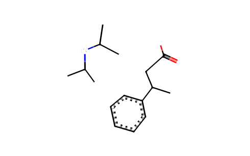 CC(C)NC(C)C.CC(CC(=O)[O-])c1ccccc1.[Li+]